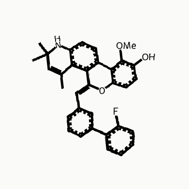 COc1c(O)ccc2c1-c1ccc3c(c1/C(=C/c1cccc(-c4ccccc4F)c1)O2)C(C)=CC(C)(C)N3